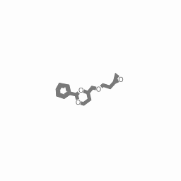 c1ccc(C2OCCC(COCCC3CO3)O2)cc1